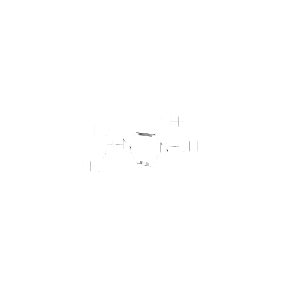 CN1C=CN(B(O)O)C=C1[C]=O